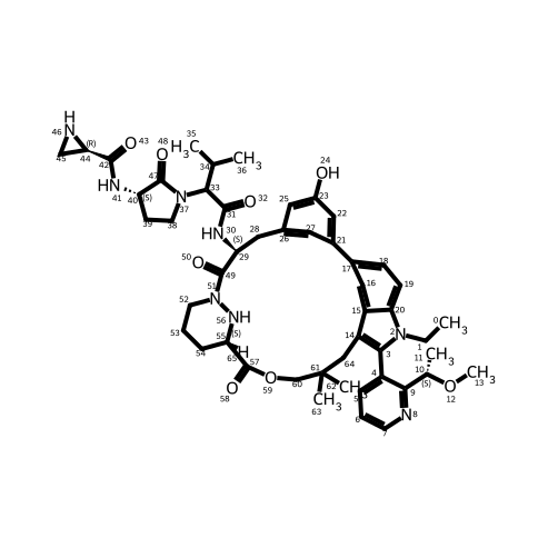 CCn1c(-c2cccnc2[C@H](C)OC)c2c3cc(ccc31)-c1cc(O)cc(c1)C[C@H](NC(=O)C(C(C)C)N1CC[C@H](NC(=O)[C@H]3CN3)C1=O)C(=O)N1CCC[C@H](N1)C(=O)OCC(C)(C)C2